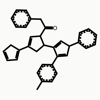 Cc1ccc(C2=CC(c3ccccc3)C=C2C2CC(C3=CC=CC3)=CC2C(=O)Cc2ccccc2)cc1